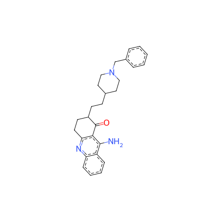 Nc1c2c(nc3ccccc13)CCC(CCC1CCN(Cc3ccccc3)CC1)C2=O